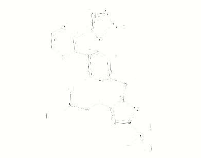 CC(C)CCc1nc(C(C)(F)F)nn1Cc1ccc(-c2ccccc2-c2nnn[nH]2)cc1